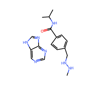 CNNCc1ccc(C(=O)NC(C)C)cc1.c1ncc2[nH]cnc2n1